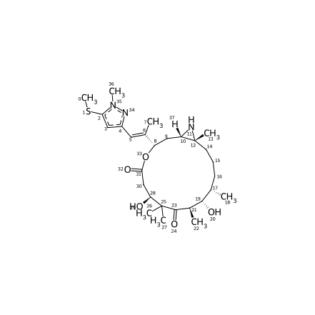 CSc1cc(/C=C(\C)[C@@H]2C[C@@H]3N[C@]3(C)CCC[C@H](C)[C@H](O)[C@@H](C)C(=O)C(C)(C)[C@@H](O)CC(=O)O2)nn1C